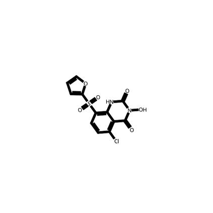 O=c1[nH]c2c(S(=O)(=O)c3ccco3)ccc(Cl)c2c(=O)n1O